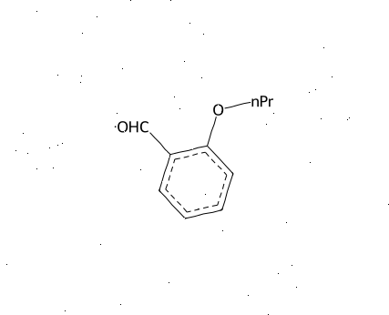 CCCOc1ccccc1[C]=O